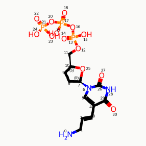 NCC=Cc1cn([C@H]2CC[C@@H](COP(=O)(O)OP(=O)(O)OP(=O)(O)O)O2)c(=O)[nH]c1=O